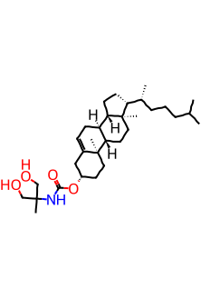 CC(C)CCC[C@@H](C)[C@H]1CC[C@H]2[C@@H]3CC=C4C[C@@H](OC(=O)NC(C)(CO)CO)CC[C@]4(C)[C@H]3CC[C@]12C